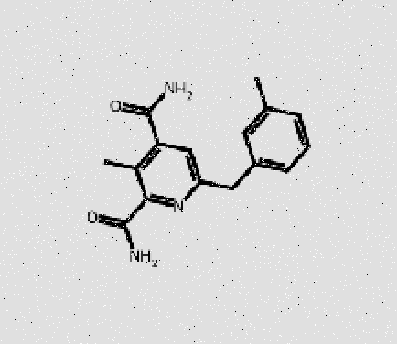 Cc1cccc(Cc2cc(C(N)=O)c(C)c(C(N)=O)n2)c1